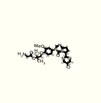 COc1cc(-n2cnc3ccc(-c4ncc(Cl)cn4)n3c2=O)ccc1OCC(C)(C)OC(=O)CN